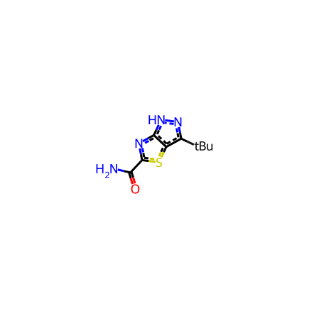 CC(C)(C)c1n[nH]c2nc(C(N)=O)sc12